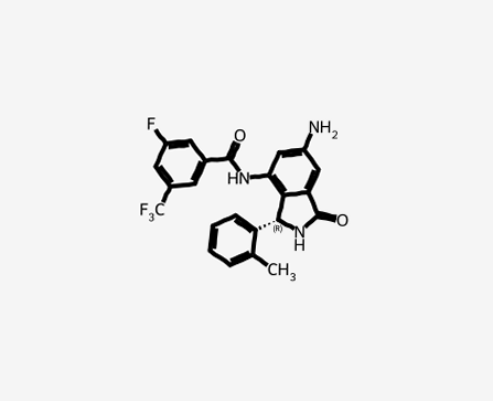 Cc1ccccc1[C@H]1NC(=O)c2cc(N)cc(NC(=O)c3cc(F)cc(C(F)(F)F)c3)c21